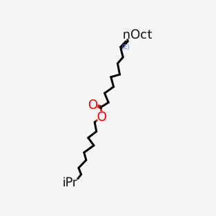 CCCCCCCC/C=C/CCCCCCCC(=O)OCCCCCCCCC(C)C